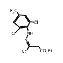 CCOC(=O)CC(C#N)=NNc1c(Cl)cc(C(F)(F)F)cc1Cl